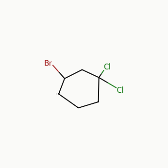 ClC1(Cl)CC[CH]C(Br)C1